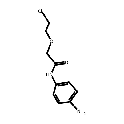 Nc1ccc(NC(=O)COCCCl)cc1